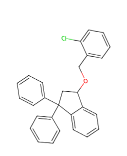 Clc1ccccc1COC1CC(c2ccccc2)(c2ccccc2)c2ccccc21